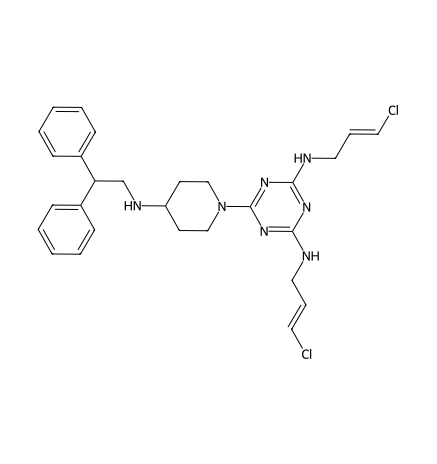 ClC=CCNc1nc(NCC=CCl)nc(N2CCC(NCC(c3ccccc3)c3ccccc3)CC2)n1